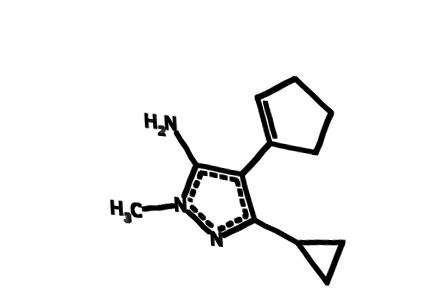 Cn1nc(C2CC2)c(C2=CCCC2)c1N